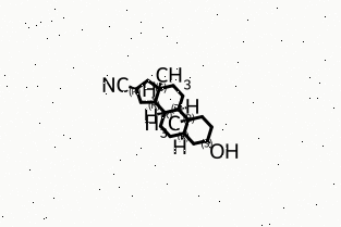 C[C@@]12CC[C@@H]3[C@H](CC[C@@H]4C[C@@H](O)CC[C@]43C)[C@H]1C[C@@H](C#N)C2